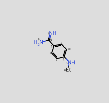 CCNc1ccc(C(=N)N)cc1